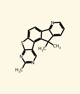 Cc1ncc2c(n1)sc1ccc3c(c12)C(C)(C)c1cccnc1-3